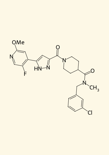 COc1cc(-c2cc(C(=O)N3CCC(C(=O)N(C)Cc4cccc(Cl)c4)CC3)n[nH]2)c(F)cn1